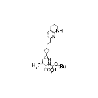 C[C@@H](CO[C@H]1C[C@H](CCc2ccc3c(n2)NCCC3)C1)[C@H](NC(=O)OC(C)(C)C)C(=O)O